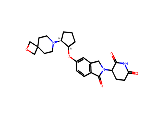 O=C1CCC(N2Cc3cc(O[C@@H]4CCC[C@@H]4N4CCC5(CC4)COC5)ccc3C2=O)C(=O)N1